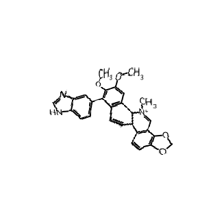 COc1cc2c(c(-c3ccc4[nH]cnc4c3)c1OC)C=CC1c3ccc4c(c3C=[N+](C)C21)OCO4